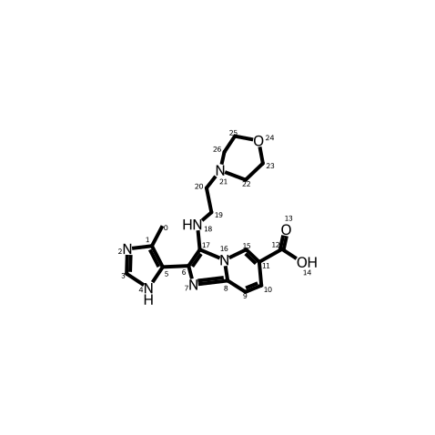 Cc1nc[nH]c1-c1nc2ccc(C(=O)O)cn2c1NCCN1CCOCC1